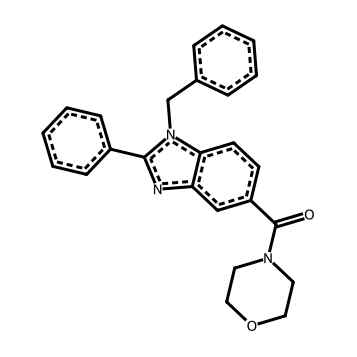 O=C(c1ccc2c(c1)nc(-c1ccccc1)n2Cc1ccccc1)N1CCOCC1